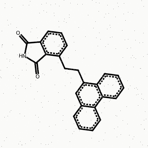 O=C1NC(=O)c2c(CCc3cc4ccccc4c4ccccc34)cccc21